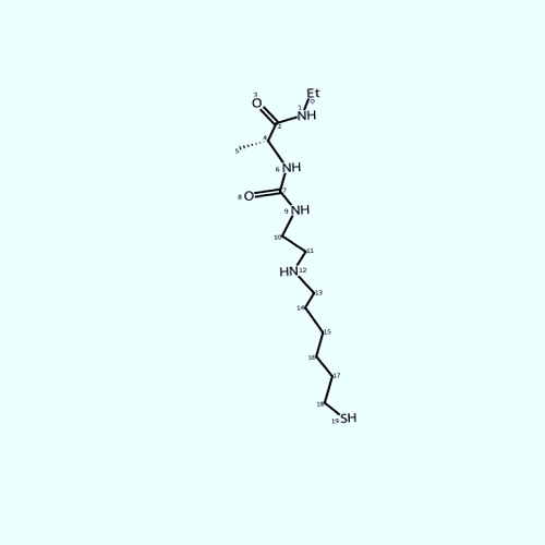 CCNC(=O)[C@@H](C)NC(=O)NCCNCCCCCCS